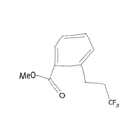 COC(=O)c1ccccc1CCC(F)(F)F